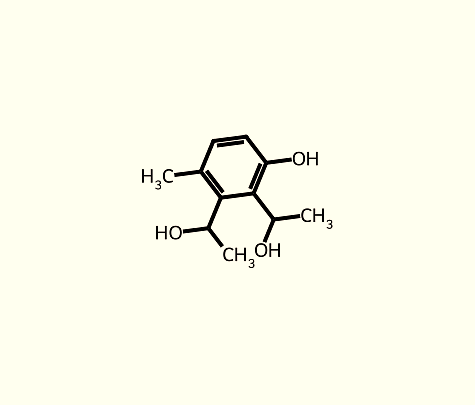 Cc1ccc(O)c(C(C)O)c1C(C)O